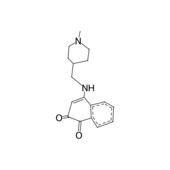 CN1CCC(CNC2=CC(=O)C(=O)c3ccccc32)CC1